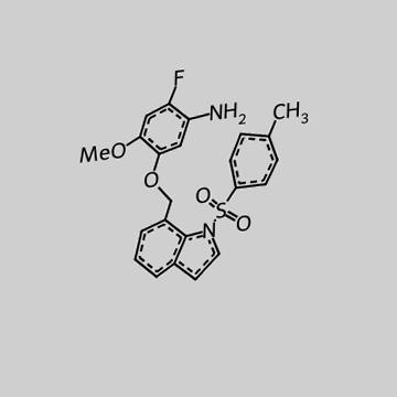 COc1cc(F)c(N)cc1OCc1cccc2ccn(S(=O)(=O)c3ccc(C)cc3)c12